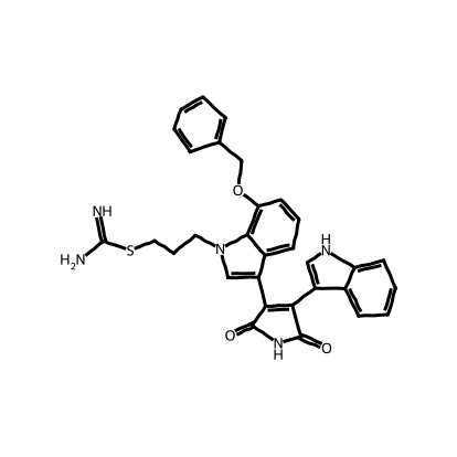 N=C(N)SCCCn1cc(C2=C(c3c[nH]c4ccccc34)C(=O)NC2=O)c2cccc(OCc3ccccc3)c21